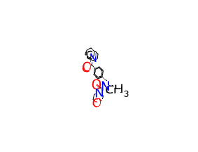 CN(Cc1ccc(C(=O)N2CC3CC4CC(C3)CC2C4)cc1)C(=O)N1CCOCC1